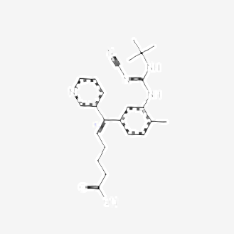 Cc1ccc(/C(=C\CCCC(=O)O)c2cccnc2)cc1NC(=NC#N)NC(C)(C)C